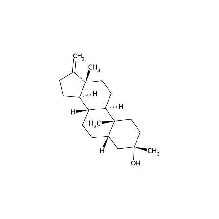 C=C1CC[C@@H]2[C@H]3CC[C@H]4C[C@@](C)(O)CC[C@@]4(C)[C@@H]3CC[C@@]12C